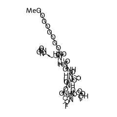 COCCOCCOCCOCCOCCOCCOCCOCCNC(=O)[C@H](CCC(=O)NCC(=O)NCC(=O)N[C@@H](Cc1ccccc1)C(=O)NCC(=O)NCO[C@@H](C)C(=O)N[C@H]1CCc2c(C)c(F)cc3nc4c(c1c23)Cn1c-4cc2c(c1=O)COC(=O)[C@]2(O)CC1CC1)NC(=O)CCCC#Cc1cnc(S(C)(=O)=O)nc1